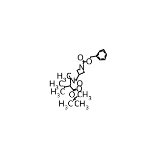 CC(C)C(C(=O)OC(C)(C)C)N(C)C(=O)C1CN(C(=O)OCc2ccccc2)C1